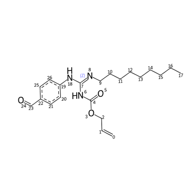 C=CCOC(=O)N/C(=N\CCCCCCCCC)Nc1ccc(C=O)cc1